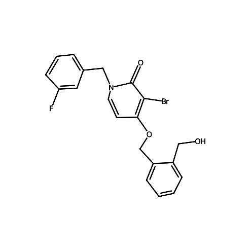 O=c1c(Br)c(OCc2ccccc2CO)ccn1Cc1cccc(F)c1